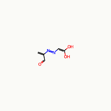 C=C(C=O)/N=N/C=C(O)O